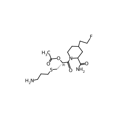 CC(=O)O[C@@H](CSCCCN)C(=O)N1CCC(CCF)CC1C(N)=O